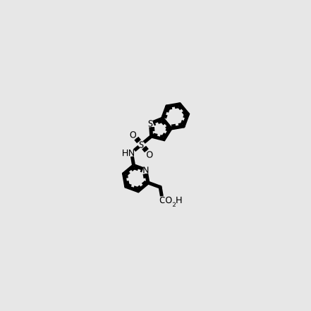 O=C(O)Cc1cccc(NS(=O)(=O)c2cc3ccccc3s2)n1